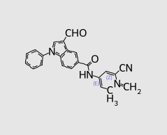 C=N/C(C#N)=C\C(=C/C)NC(=O)c1ccc2c(c1)c(C=O)cn2-c1ccccc1